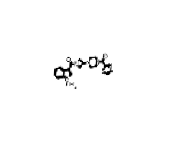 Cn1cc(C(=O)N2CC(N3CCN(C(=O)c4nccs4)CC3)C2)c2ccccc21